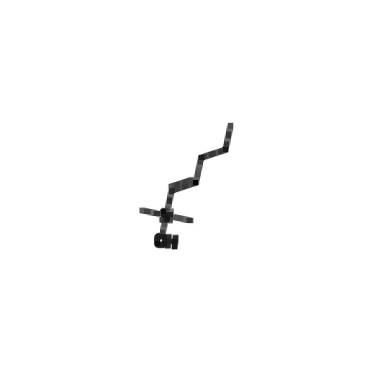 CCCC=C[Si](C)(C)O